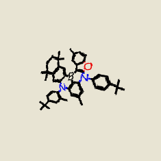 Cc1cc2c3c(c1)N(c1ccc(C(C)(C)C)cc1)c1oc4ccc(C)cc4c1B3c1cc3c(cc1N2c1ccc(C(C)(C)C)cc1C)C(C)(C)CCC3(C)C